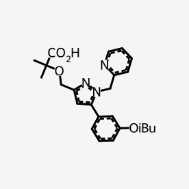 CC(C)COc1cccc(-c2cc(COC(C)(C)C(=O)O)nn2Cc2ccccn2)c1